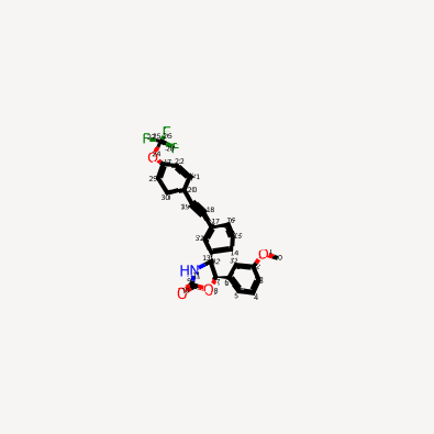 COc1cccc([C@H]2OC(=O)N[C@@H]2c2cccc(C#CC3C=CC(OC(F)(F)F)=CC3)c2)c1